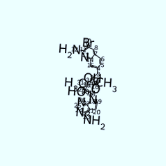 C[C@]1(CCc2ccc3cc(Br)c(N)nc3c2)O[C@@H](n2ccc3c(N)ncnc32)[C@H](O)[C@]1(C)O